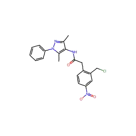 Cc1nn(-c2ccccc2)c(C)c1NC(=O)Cc1ccc([N+](=O)[O-])cc1CCl